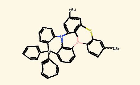 CC(C)(C)c1ccc2c(c1)Sc1cc(C(C)(C)C)cc3c1B2c1cccc2c1N3c1ccccc1[Si]2(c1ccccc1)c1ccccc1